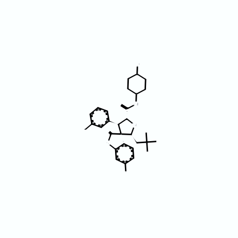 CC(C)(C)C[C@@H]1N[C@@H](C(=O)NC2CCC(O)CC2)[C@H](c2cccc(Cl)c2)[C@]12C(=O)Nc1cc(F)ccc12